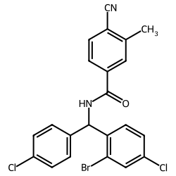 Cc1cc(C(=O)NC(c2ccc(Cl)cc2)c2ccc(Cl)cc2Br)ccc1C#N